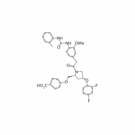 COc1cc(CC(=O)N2C[C@@H](Oc3ccc(F)cc3F)C[C@H]2COc2ccc(C(=O)O)cc2)ccc1NC(=O)Nc1ccccc1C